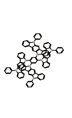 c1ccc(-n2c3ccccc3c3cc4c(cc32)c2ccccc2n4-c2cc(-n3c4ccccc4c4cc5c(cc43)c3ccccc3n5-c3ccccc3)c(-n3c4ccccc4c4cc5c(cc43)c3ccccc3n5-c3ccccc3)cc2-n2c3ccccc3c3cc4c(cc32)c2ccccc2n4-c2ccccc2)cc1